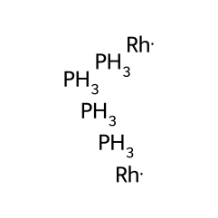 P.P.P.P.[Rh].[Rh]